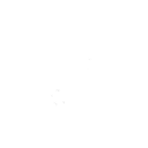 Cn1nnnc1SCCCC(=O)N1CCCCC1